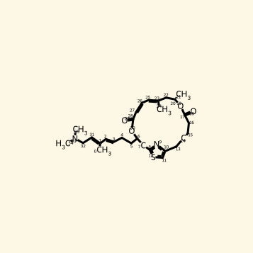 CC(/C=C/CCC1Cc2nc(cs2)CCCCC(=O)O[C@@H](C)C/C(C)=C/C=C\C(=O)O1)=C\CN(C)C